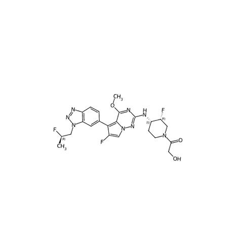 COc1nc(N[C@H]2CCN(C(=O)CO)C[C@H]2F)nn2cc(F)c(-c3ccc4nnn(C[C@@H](C)F)c4c3)c12